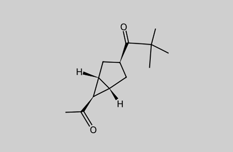 CC(=O)[C@H]1[C@@H]2C[C@@H](C(=O)C(C)(C)C)C[C@@H]21